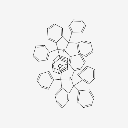 COc1c(N2C(c3ccccc3)(c3ccccc3)c3ccccc3C2(c2ccccc2)c2ccccc2)cccc1N1C(c2ccccc2)(c2ccccc2)c2ccccc2C1(c1ccccc1)c1ccccc1